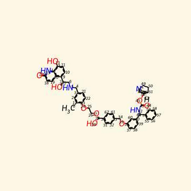 Cc1cc(CNC[C@H](O)c2ccc(O)c3[nH]c(=O)ccc23)ccc1OCCOC(O)c1ccc(COc2cccc([C@@H](NC(=O)O[C@H]3CN4CCC3CC4)c3ccccc3)c2)cc1